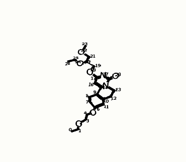 CCOCCOc1ccc2c(c1)CCn1c-2cc(OC[C@H](COC)OCC)nc1=O